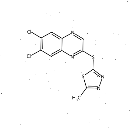 Cc1nnc(Sc2cnc3cc(Cl)c(Cl)cc3n2)s1